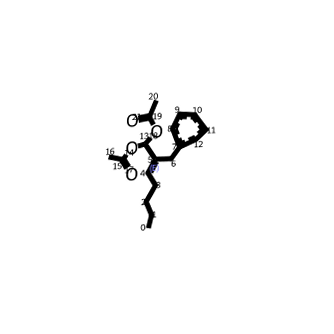 CCCC/C=C(\Cc1ccccc1)C(OC(C)=O)OC(C)=O